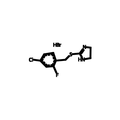 Br.Fc1cc(Cl)ccc1CSC1=NCCN1